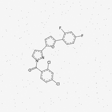 O=C(c1ccc(Cl)cc1Cl)n1ccc(-c2ccc(-c3ccc(F)cc3F)o2)n1